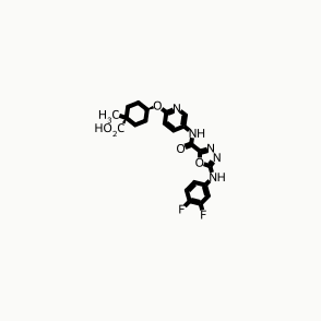 C[C@]1(C(=O)O)CC[C@@H](Oc2ccc(NC(=O)c3nnc(Nc4ccc(F)c(F)c4)o3)cn2)CC1